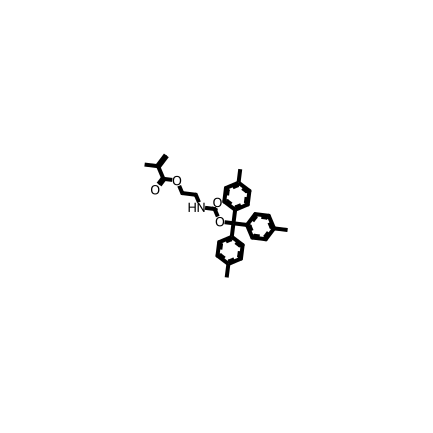 C=C(C)C(=O)OCCNC(=O)OC(c1ccc(C)cc1)(c1ccc(C)cc1)c1ccc(C)cc1